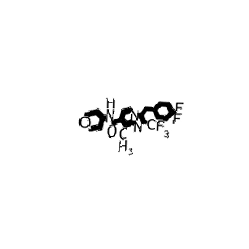 Cc1c(C(=O)NC2CCOCC2)ccn2c(CC3CCC(F)(F)CC3)c(C(F)(F)F)nc12